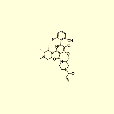 C=CC(=O)N1CCN2C(=O)c3c(N4CCN(C)[C@H](C)[C@@H]4C)nc(-c4c(O)cccc4F)c(Cl)c3OCC2C1